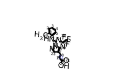 Cc1ccccc1Nc1nc(C(F)(F)F)nc2c(/C=C/C(=O)O)cnn12